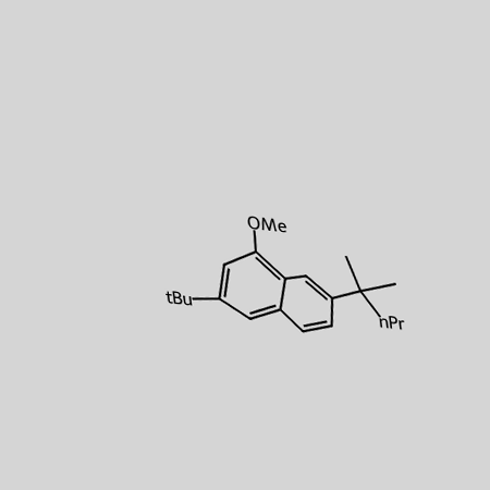 CCCC(C)(C)c1ccc2cc(C(C)(C)C)cc(OC)c2c1